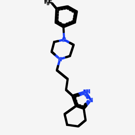 FC(F)(F)c1cccc(N2CCN(CCCc3[nH]nc4c3CCCC4)CC2)c1